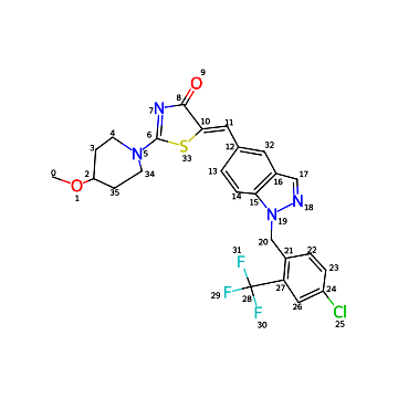 COC1CCN(C2=NC(=O)/C(=C/c3ccc4c(cnn4Cc4ccc(Cl)cc4C(F)(F)F)c3)S2)CC1